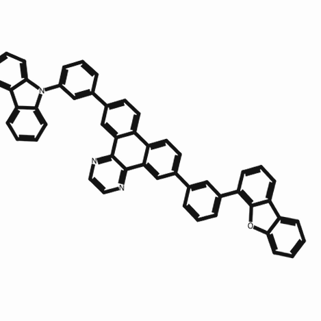 c1cc(-c2ccc3c4ccc(-c5cccc(-n6c7ccccc7c7ccccc76)c5)cc4c4nccnc4c3c2)cc(-c2cccc3c2oc2ccccc23)c1